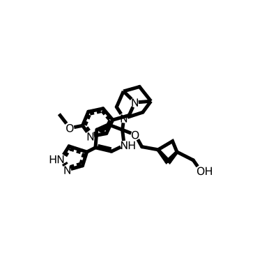 COc1ccc(CN2C3CC2CN(C2(OCC45CC(CO)(C4)C5)C=CC(c4cn[nH]c4)=CN2)C3)cn1